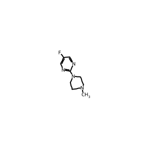 CN1CCN(c2ncc(F)cn2)CC1